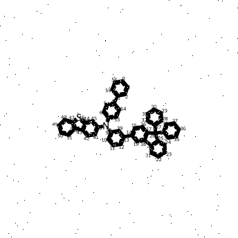 c1ccc(-c2ccc(N(c3cccc(-c4ccc5c(c4)-c4ccccc4C5(c4ccccc4)c4ccccc4)c3)c3ccc4c(c3)sc3ccccc34)cc2)cc1